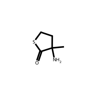 CC1(N)CCSC1=O